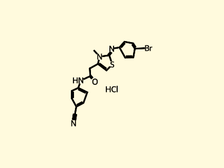 Cl.Cn1c(CC(=O)Nc2ccc(C#N)cc2)csc1=Nc1ccc(Br)cc1